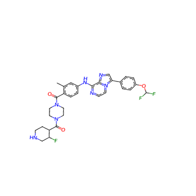 Cc1cc(Nc2nccn3c(-c4ccc(OC(F)F)cc4)cnc23)ccc1C(=O)N1CCN(C(=O)C2CCNCC2F)CC1